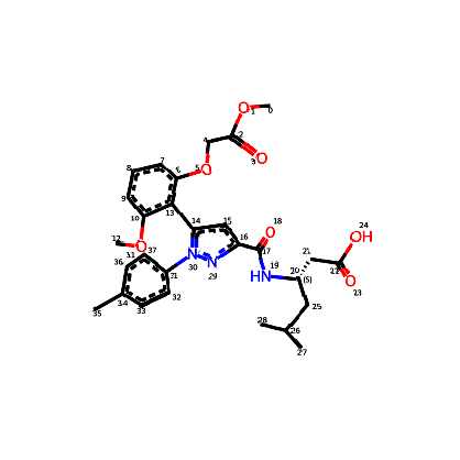 COC(=O)COc1cccc(OC)c1-c1cc(C(=O)N[C@H](CC(=O)O)CC(C)C)nn1-c1ccc(C)cc1